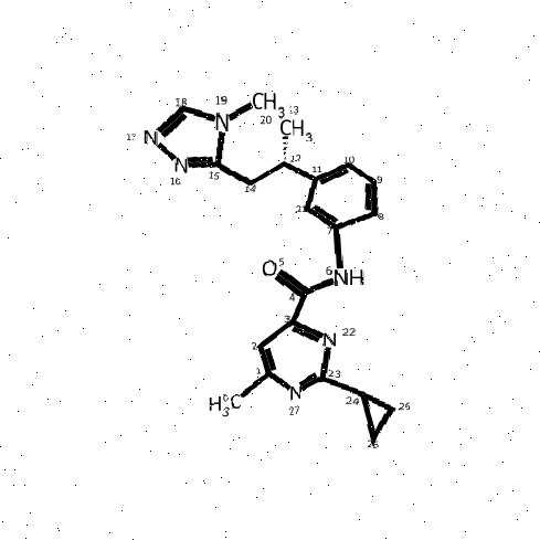 Cc1cc(C(=O)Nc2cccc([C@@H](C)Cc3nncn3C)c2)nc(C2CC2)n1